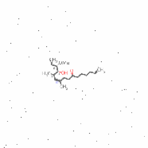 C=CCCCCC(=O)CC/C(C)=C\[C@@H](C)[C@H](O)[C@H](C=C)OC